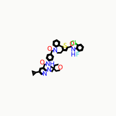 O=C(Nc1c(F)cccc1Cl)c1cc2c(s1)-c1ccccc1N(C(=O)c1ccc(NC(=O)c3cc(C4CC4)cnc3N3CC4(CCOCC4)C3)cc1)CC2